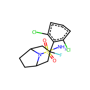 NS(=O)(=O)N1C2CCC1CC(F)(c1c(Cl)cccc1Cl)C2